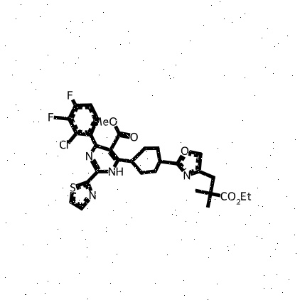 CCOC(=O)C(C)(C)Cc1coc(C2CCC(C3=C(C(=O)OC)C(c4ccc(F)c(F)c4Cl)N=C(c4nccs4)N3)CC2)n1